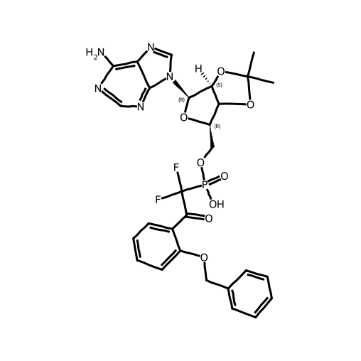 CC1(C)OC2[C@@H](COP(=O)(O)C(F)(F)C(=O)c3ccccc3OCc3ccccc3)O[C@@H](n3cnc4c(N)ncnc43)[C@H]2O1